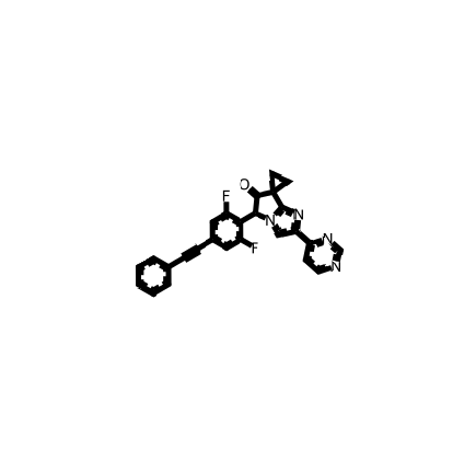 O=C1C(c2c(F)cc(C#Cc3ccccc3)cc2F)n2cc(-c3ccncn3)nc2C12CC2